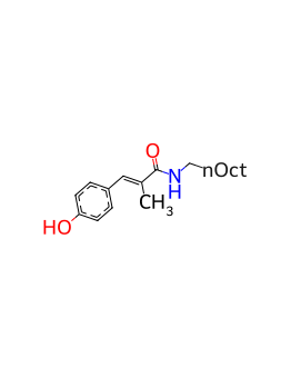 CCCCCCCCCNC(=O)/C(C)=C/c1ccc(O)cc1